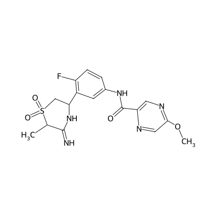 COc1cnc(C(=O)Nc2ccc(F)c(C3CS(=O)(=O)C(C)C(=N)N3)c2)cn1